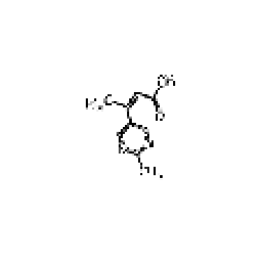 C/C(=C/C(=O)O)c1cnc(C)nc1